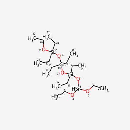 CCO[SiH](OCC)O[Si](CC)(CC)O[Si](CC)(CC)O[Si](CC)(CC)OCC